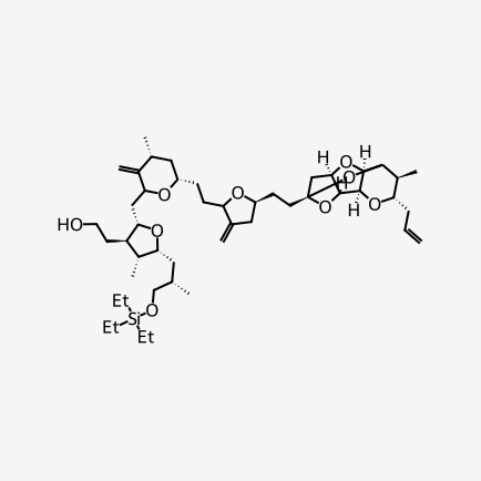 C=CC[C@@H]1O[C@H]2[C@H]3O[C@]4(CC[C@H]5CC(=C)C(CC[C@H]6C[C@@H](C)C(=C)C(C[C@@H]7O[C@H](C[C@H](C)CO[Si](CC)(CC)CC)[C@H](C)[C@H]7CCO)O6)O5)C[C@H]3O[C@H]2C(O4)[C@H]1C